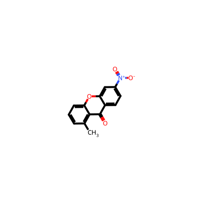 Cc1cccc2oc3cc([N+](=O)[O-])ccc3c(=O)c12